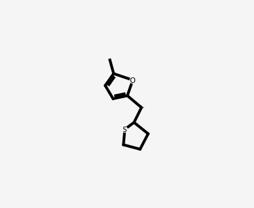 Cc1ccc([CH]C2CCCS2)o1